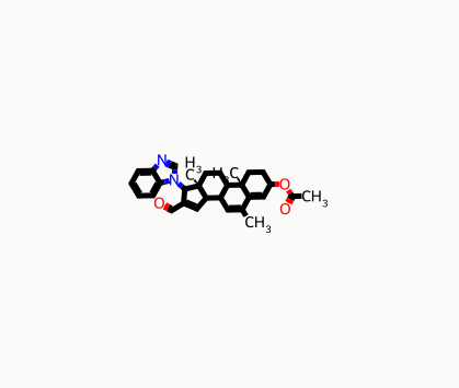 CC(=O)OC1C=C2C(C)=CC3C4C=C(C=O)C(n5cnc6ccccc65)[C@@]4(C)CCC3[C@@]2(C)CC1